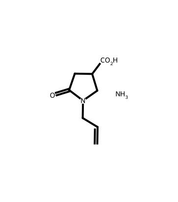 C=CCN1CC(C(=O)O)CC1=O.N